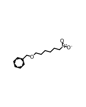 O=[N+]([O-])CCCCCCOCc1ccccc1